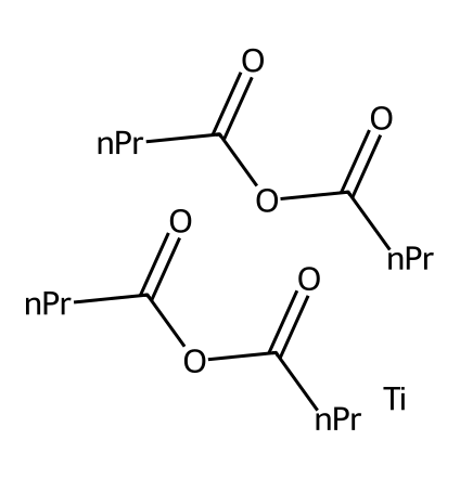 CCCC(=O)OC(=O)CCC.CCCC(=O)OC(=O)CCC.[Ti]